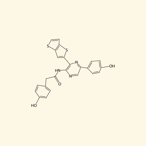 O=C(Cc1ccc(O)cc1)Nc1ncc(-c2ccc(O)cc2)nc1-c1cc2sccc2s1